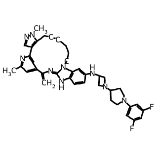 C=C1/N=C2\Nc3ccc(NC4CN(C5CCN(c6cc(F)cc(F)c6)CC5)C4)cc3N2CCCCCCc2c(cnn2C)-c2cc1cc(C)n2